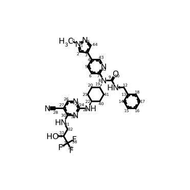 Cn1cc(-c2ccc(N(C(=O)NCc3ccccc3)[C@H]3CC[C@H](Nc4ncc(C#N)c(NCC(O)C(F)(F)F)n4)CC3)nc2)cn1